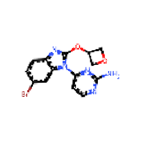 Nc1nccc(-n2c(OC3COC3)nc3ccc(Br)cc32)n1